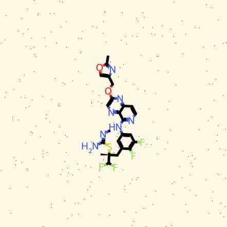 C/N=C(/N)S[C@](C)(Cc1cc(Nc2nccc3nc(OCc4coc(C)n4)cnc23)cc(F)c1F)C(F)F